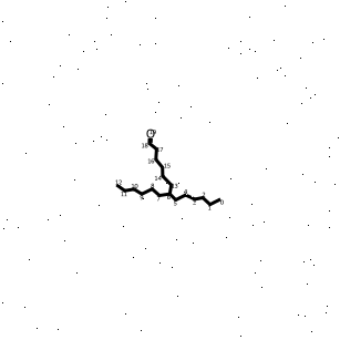 CCCCCCC(CCCCCC)CCCCCC=O